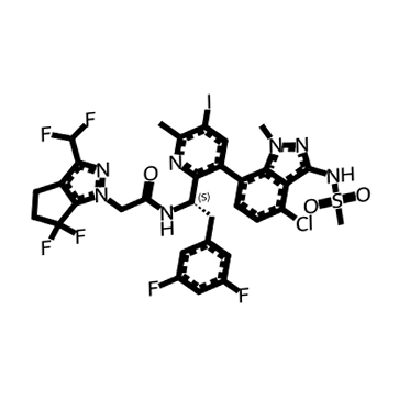 Cc1nc([C@H](Cc2cc(F)cc(F)c2)NC(=O)Cn2nc(C(F)F)c3c2C(F)(F)CC3)c(-c2ccc(Cl)c3c(NS(C)(=O)=O)nn(C)c23)cc1I